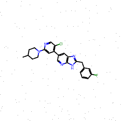 CC1CCN(c2cc(-c3cnc4[nH]c(Cc5cccc(F)c5)nc4c3)c(Cl)cn2)CC1